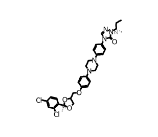 CC[C@H](C)n1ncn(-c2ccc(N3CCN(c4ccc(OCC5CO[C@@](C)(c6ccc(Cl)cc6Cl)O5)cc4)CC3)cc2)c1=O